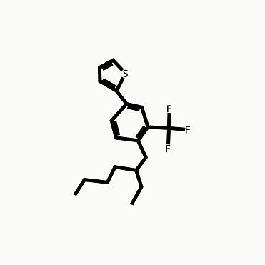 CCCCC(CC)Cc1ccc(-c2cccs2)cc1C(F)(F)F